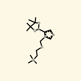 CC1(C)OB(c2cncn2COCC[Si](C)(C)C)OC1(C)C